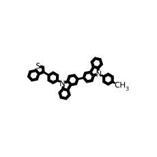 Cc1ccc(-n2c3ccccc3c3cc(-c4ccc5c(c4)c4ccccc4n5-c4ccc(-c5csc6ccccc56)cc4)ccc32)cc1